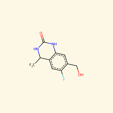 O=C1Nc2cc(CO)c(F)cc2C(C(F)(F)F)N1